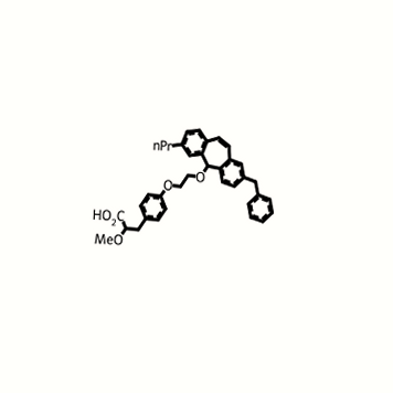 CCCc1ccc2c(c1)C(OCCOc1ccc(CC(OC)C(=O)O)cc1)c1ccc(Cc3ccccc3)cc1C=C2